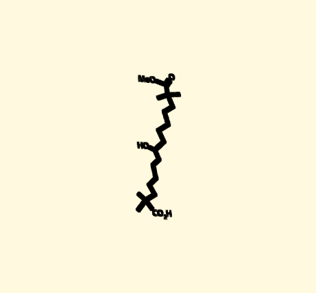 COC(=O)C(C)(C)CCCCCC(O)CCCCCC(C)(C)C(=O)O